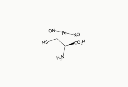 N[C@@H](CS)C(=O)O.O=[N][Fe][N]=O